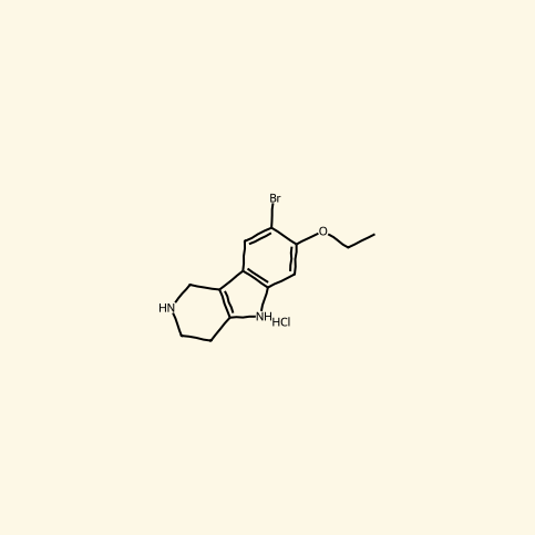 CCOc1cc2[nH]c3c(c2cc1Br)CNCC3.Cl